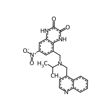 CC(C)N(Cc1ccnc2ccccc12)Cc1cc([N+](=O)[O-])cc2[nH]c(=O)c(=O)[nH]c12